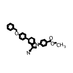 CCOC(=O)c1ccc(-n2cc(C#N)c3c2=CCC(c2ccc(OCc4ccccc4)cc2)C=3)cc1